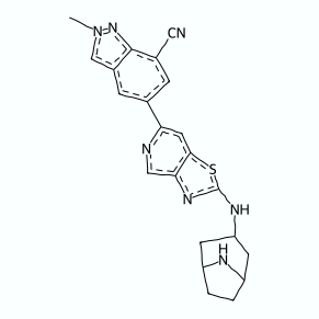 Cn1cc2cc(-c3cc4sc(NC5CC6CCC(C5)N6)nc4cn3)cc(C#N)c2n1